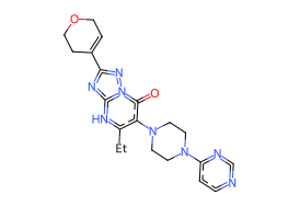 CCc1[nH]c2nc(C3=CCOCC3)nn2c(=O)c1N1CCN(c2ccncn2)CC1